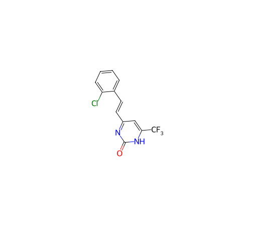 O=c1nc(C=Cc2ccccc2Cl)cc(C(F)(F)F)[nH]1